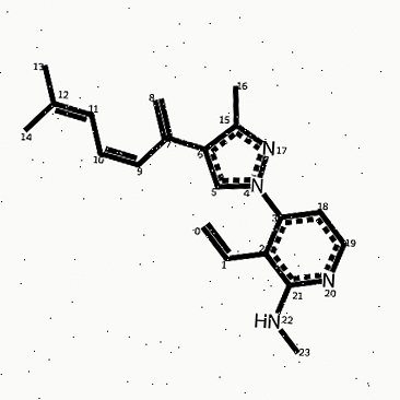 C=Cc1c(-n2cc(C(=C)/C=C\C=C(C)C)c(C)n2)ccnc1NC